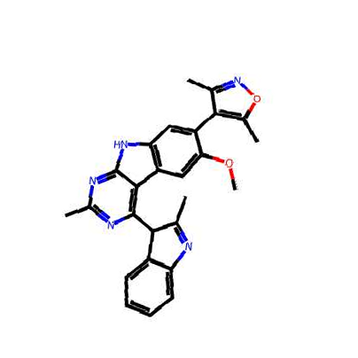 COc1cc2c(cc1-c1c(C)noc1C)[nH]c1nc(C)nc(C3C(C)=Nc4ccccc43)c12